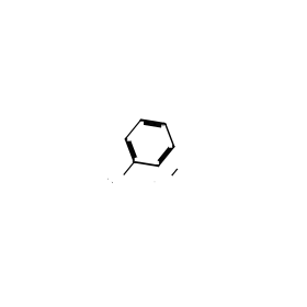 CC=O.N#Cc1ccccc1